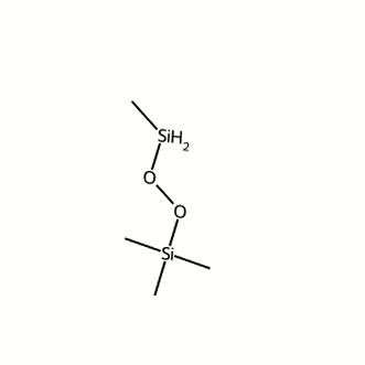 C[SiH2]OO[Si](C)(C)C